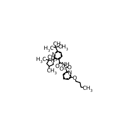 CCCCOc1cccc(S(=O)(=O)NC(=O)c2ccc(C(C)(C)C)nc2N2CC(C)CC2(C)C)n1